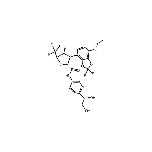 CCOc1ccc([C@H]2[C@H](C(=O)Nc3ccc([C@@H](O)CO)nc3)O[C@@](C)(C(F)(F)F)[C@H]2C)c2c1OC(F)(F)O2